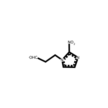 O=[C]CCn1ccnc1[N+](=O)[O-]